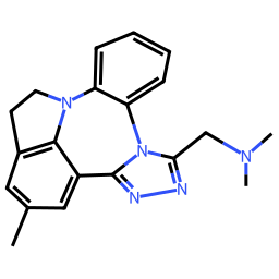 Cc1cc2c3c(c1)-c1nnc(CN(C)C)n1-c1ccccc1N3CC2